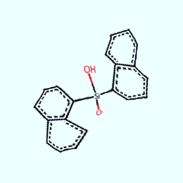 [O][Si](O)(c1cccc2ccccc12)c1cccc2ccccc12